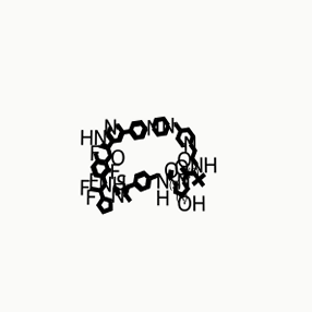 Cc1ncsc1-c1ccc(CNC(=O)[C@@H]2C[C@@H](O)CN2C(=O)[C@@H](NC(=O)CN2CCC(CN3CCN(c4ccc(-c5cnc6[nH]cc(C(=O)c7c(F)ccc(NC(C8CCCC8)C(F)(F)F)c7F)c6c5)cc4)CC3)CC2)C(C)(C)C)cc1